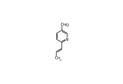 C/C=C/c1ccc(C=O)cn1